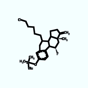 C=C1CCC2C3C(CCCCCCl)Cc4cc(O[Si](C)(C)C(C)(C)C)ccc4C3[C@@H](F)C[C@]12C